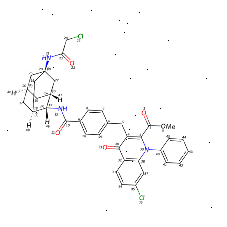 COC(=O)c1c(Cc2ccc(C(=O)N[C@H]3[C@@H]4C[C@H]5C[C@H]3C[C@](NC(=O)CCl)(C5)C4)cc2)c(=O)c2ccc(Cl)cc2n1-c1ccccc1